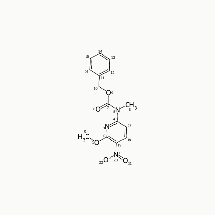 COc1nc(N(C)C(=O)OCc2ccccc2)ccc1[N+](=O)[O-]